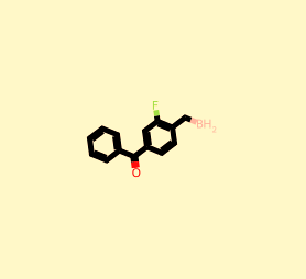 BCc1ccc(C(=O)c2ccccc2)cc1F